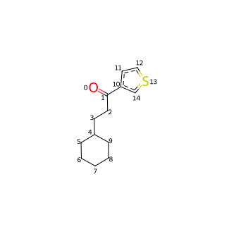 O=C(CCC1CCCCC1)c1ccsc1